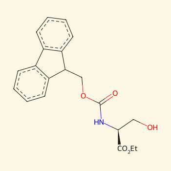 CCOC(=O)[C@H](CO)NC(=O)OCC1c2ccccc2-c2ccccc21